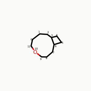 C1CCC2CCC2CCCOC1